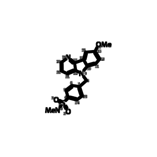 CNS(=O)(=O)c1ccc(Cn2c3ccc(OC)cc3c3ncccc32)cc1